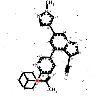 CC(=O)N1CC2CC(C1)C2Nc1ccc(-c2cc(-c3cnn(C)c3)cn3ncc(C#N)c23)cn1